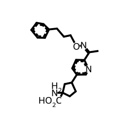 CC(=NOCCCc1ccccc1)c1ccc(C2CCC(N)(C(=O)O)C2)cn1